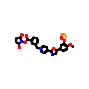 COc1ccc(-c2cnc(-c3cc[n+](Cc4cccc(C(=O)ON5C(=O)CCC5=O)c4)cc3)o2)cc1OOP